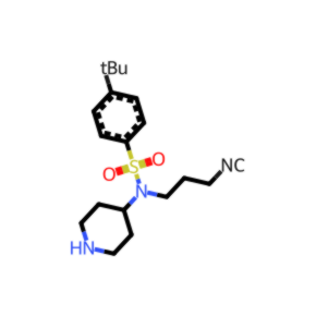 [C-]#[N+]CCCN(C1CCNCC1)S(=O)(=O)c1ccc(C(C)(C)C)cc1